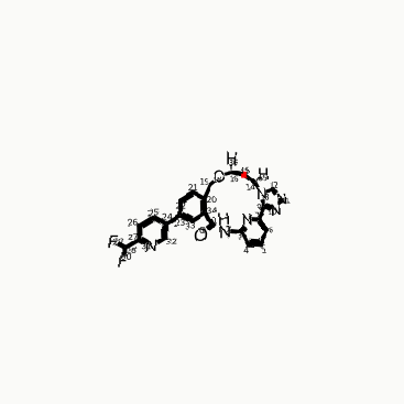 O=C1Nc2cccc(n2)-c2nncn2[C@H]2C[C@H](C2)OCc2ccc(-c3ccc(C(F)F)nc3)cc21